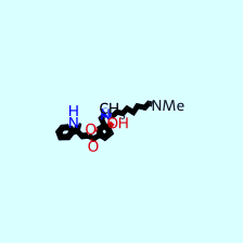 CNCCCCCCCCN(C)Cc1c(O)ccc2c1OC(=Cc1c[nH]c3ccccc13)C2=O